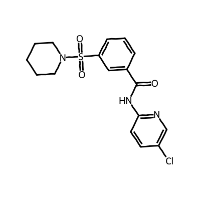 O=C(Nc1ccc(Cl)cn1)c1cccc(S(=O)(=O)N2CCCCC2)c1